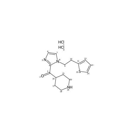 Cl.Cl.O=C(c1nccn1CCc1cccs1)C1CCNCC1